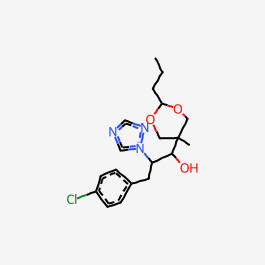 CCCC1OCC(C)(C(O)C(Cc2ccc(Cl)cc2)n2cncn2)CO1